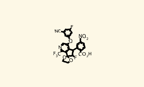 N#Cc1cc(F)cc(Oc2cnc(C(F)(F)F)c3c2C(c2cc([N+](=O)[O-])ccc2C(=O)O)C(F)C32OCCO2)c1